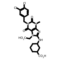 Cn1c(=O)n(Cc2ccc(Cl)c(Cl)c2)c(=O)c2c1nc(NC1CCCC(C(=O)O)C1)n2CC(=O)O